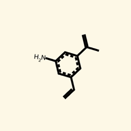 C=Cc1cc(N)cc(C(=C)C)c1